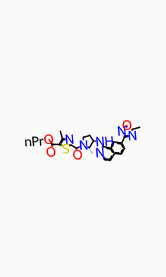 CCCOC(=O)c1sc(C(=O)N2CCC(Nc3nccc4ccc(-c5noc(C)n5)cc34)[C@@H]2C)nc1C